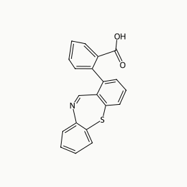 O=C(O)c1ccccc1-c1cccc2c1C=Nc1ccccc1S2